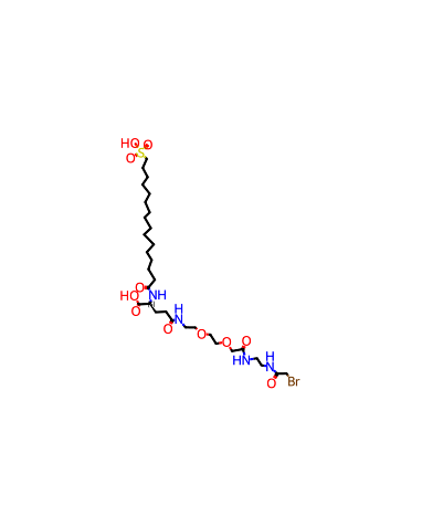 O=C(CBr)NCCNC(=O)COCCOCCNC(=O)CC[C@H](NC(=O)CCCCCCCCCCCCCCCS(=O)(=O)O)C(=O)O